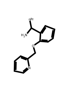 CCCC(N)c1ccccc1OCc1ccccn1